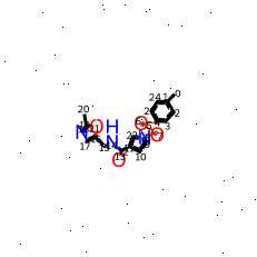 Cc1ccc(S(=O)(=O)n2ccc(C(=O)NCc3cnc(C)o3)c2)cc1